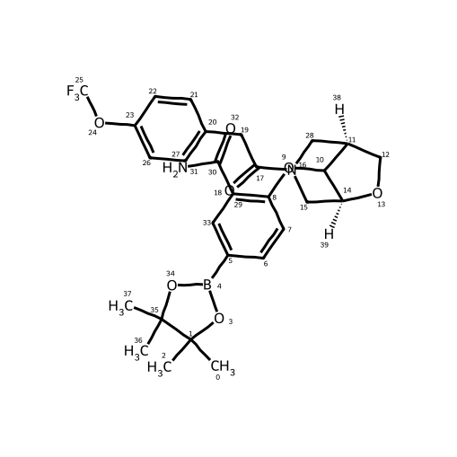 CC1(C)OB(c2ccc(OC3[C@@H]4CO[C@H]3CN(C(=O)Cc3ccc(OC(F)(F)F)cc3)C4)c(C(N)=O)c2)OC1(C)C